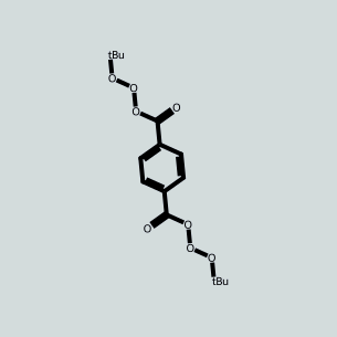 CC(C)(C)OOOC(=O)c1ccc(C(=O)OOOC(C)(C)C)cc1